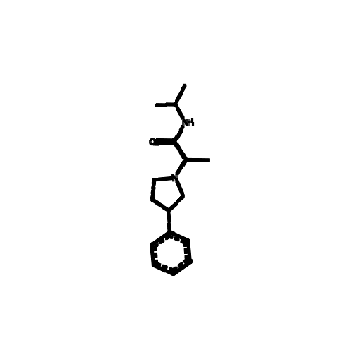 CC(C)NC(=O)C(C)N1CCC(c2ccccc2)C1